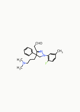 Cc1ccc(F)c(N2CC(CCCN(C)C)(c3ccccc3)C(CC=O)=N2)c1